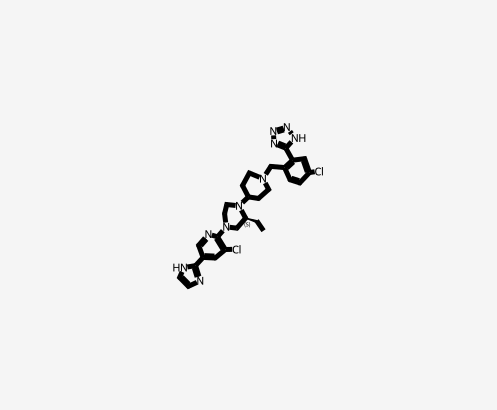 CC[C@H]1CN(c2ncc(-c3ncc[nH]3)cc2Cl)CCN1C1CCN(Cc2ccc(Cl)cc2-c2nnn[nH]2)CC1